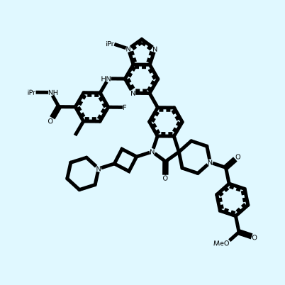 COC(=O)c1ccc(C(=O)N2CCC3(CC2)C(=O)N(C2CC(N4CCCCC4)C2)c2cc(-c4cc5ncn(C(C)C)c5c(Nc5cc(C(=O)NC(C)C)c(C)cc5F)n4)ccc23)cc1